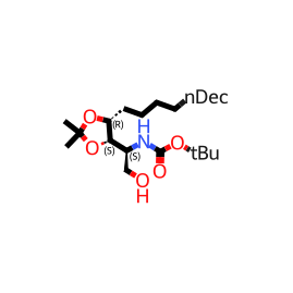 CCCCCCCCCCCCCC[C@H]1OC(C)(C)O[C@H]1[C@H](CO)NC(=O)OC(C)(C)C